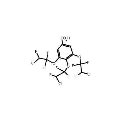 O=C(O)c1cc(OC(F)(F)C(F)Cl)c(OC(F)(F)C(F)Cl)c(OC(F)(F)C(F)Cl)c1